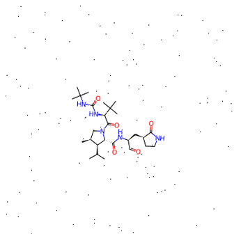 CC(C)[C@@H]1[C@@H](C(=O)N[C@H](C=O)C[C@@H]2CCNC2=O)N(C(=O)[C@@H](NC(=O)NC(C)(C)C)C(C)(C)C)C[C@@H]1C